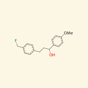 COc1ccc(C(O)CCc2ccc(CF)cc2)cc1